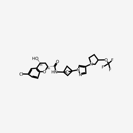 O=C(NC12CC(n3cc(N4CCC(OC(F)(F)F)C4)cn3)(C1)C2)[C@H]1C[C@@H](O)c2cc(Cl)ccc2O1